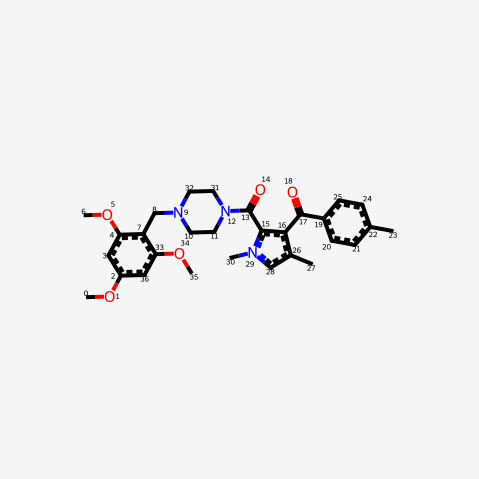 COc1cc(OC)c(CN2CCN(C(=O)c3c(C(=O)c4ccc(C)cc4)c(C)cn3C)CC2)c(OC)c1